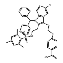 Cc1cc(C)c(S(=O)(=O)NCCc2c(CCOc3ccc(C(=O)O)cc3)c3cc(Cl)ccc3n2C(c2ccccc2)c2ccccc2)c(C)c1